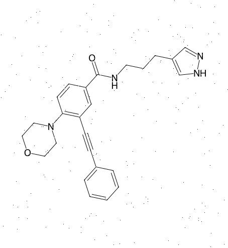 O=C(NCCCc1cn[nH]c1)c1ccc(N2CCOCC2)c(C#Cc2ccccc2)c1